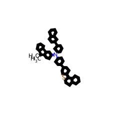 CC1(C)c2ccccc2-c2cc(N(c3ccc(-c4ccc5c(c4)sc4ccc6ccccc6c45)cc3)c3cccc(-c4ccc5ccccc5c4)c3)ccc21